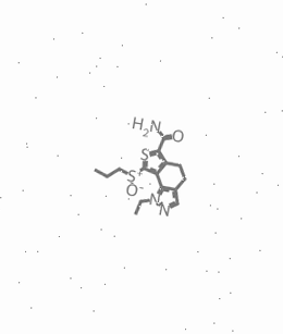 CCC[S+]([O-])c1sc(C(N)=O)c2c1-c1c(cnn1CC)CC2